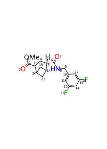 COC(=O)C1C[C@H](C(=O)NCc2cc(F)cc(F)c2)C2CC1C2